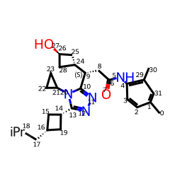 Cc1ccc(NC(=O)C[C@H](c2nnc([C@H]3C[C@@H](CC(C)C)C3)n2C2CC2)[C@H]2C[C@H](O)C2)c(C)c1